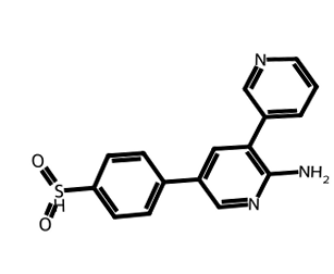 Nc1ncc(-c2ccc([SH](=O)=O)cc2)cc1-c1cccnc1